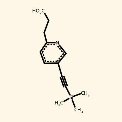 C[Si](C)(C)C#Cc1ccc(CCC(=O)O)nc1